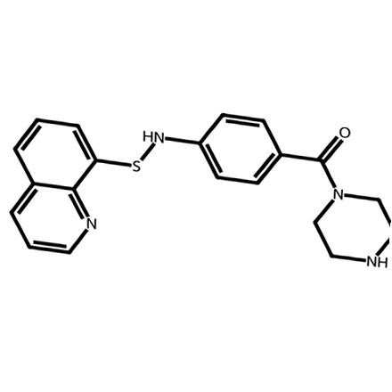 O=C(c1ccc(NSc2cccc3cccnc23)cc1)N1CCNCC1